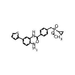 COP(=O)(Cc1ccc(C(=O)Nc2cc(-c3cccs3)ccc2N)cc1)C1CC1